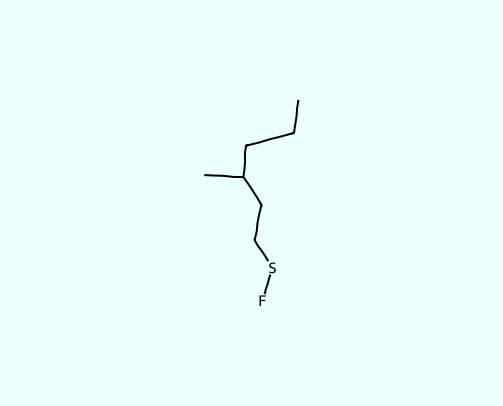 CCCC(C)CCSF